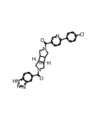 O=C(c1ccc(-c2ccc(Cl)cc2)nc1)N1CC2C(C1)[C@@H]1CN(C(=O)c3ccc4[nH]nnc4c3)C[C@H]21